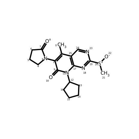 Cc1c(N2CCCC2=O)c(=O)n(C2CCCC2)c2nc([S+](C)[O-])ncc12